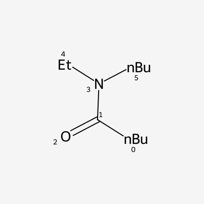 [CH2]CCCC(=O)N(CC)CCCC